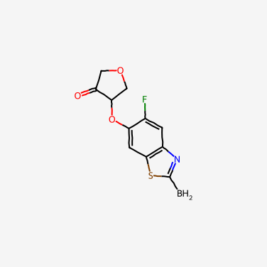 Bc1nc2cc(F)c(OC3COCC3=O)cc2s1